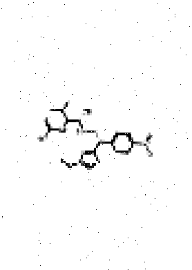 CCc1csc([C@H](CN[C@@H](O)C(NC(=O)O)C(C)C)c2ccc([N+](=O)[O-])cc2)n1